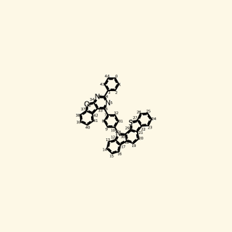 c1ccc(-c2nc(-c3ccc(-n4c5ccccc5c5ccc6c7ccccc7sc6c54)cc3)c3c(n2)oc2ccccc23)cc1